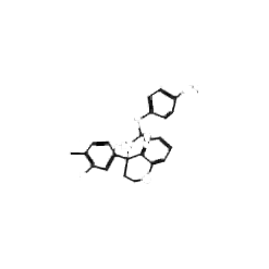 Cc1ccc([C@@]2(NC(=O)Nc3ccc(C#N)cc3)CCOc3cccnc32)cc1F